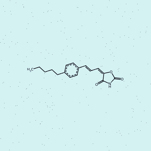 CCCCCc1ccc(C=CC=C2OC(=O)NC2=O)cc1